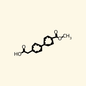 COC(=O)c1ccc(-c2ccc(CC(=O)O)cc2)cc1